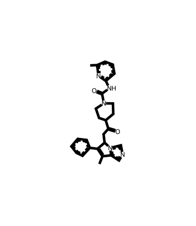 CC1=C(c2ccccc2)C(CC(=O)C2CCN(C(=O)Nc3cccc(C)n3)CC2)n2cncc21